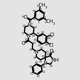 Cc1cc(C)cc(C(=O)N2CCN(C(=O)CCN3CCC4(CC3)C(=O)NCN4c3ccccc3)C(c3ccc(Cl)c(Cl)c3)C2)c1